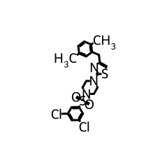 Cc1ccc(C)c(Cc2csc(N3CCN(S(=O)(=O)c4cc(Cl)cc(Cl)c4)CC3)n2)c1